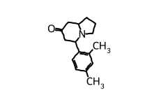 Cc1ccc(C2CC(=O)CC3CCCN32)c(C)c1